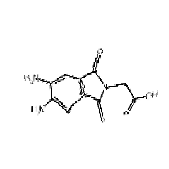 Nc1cc2c(cc1N)C(=O)N(CC(=O)O)C2=O